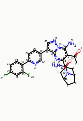 CC(=O)c1c(C2CC3CCC(C2)N3C(N)=O)nc2c(-c3ccc(-c4ccc(F)cc4F)nc3)cnn2c1N